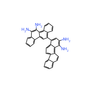 Nc1cc(-c2cc3c4ccccc4c(N)c(N)c3c3ccccc23)c2ccc3c4ccccc4ccc3c2c1N